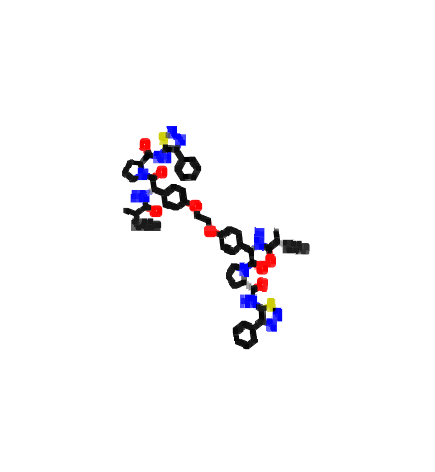 CN[C@@H](C)C(=O)N[C@H](C(=O)N1CCC[C@H]1C(=O)Nc1snnc1-c1ccccc1)c1ccc(OCCOc2ccc([C@H](NC(=O)[C@H](C)NC)C(=O)N3CCC[C@H]3C(=O)Nc3snnc3-c3ccccc3)cc2)cc1